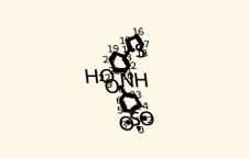 CS(=O)(=O)c1ccc(C(=O)Nc2cc(-c3cccs3)ccc2O)cc1